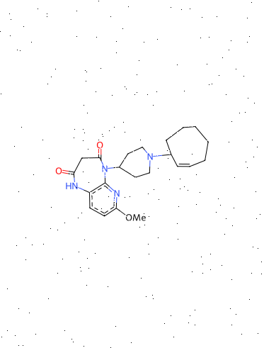 COc1ccc2c(n1)N(C1CCN(C3C=CCCCCC3)CC1)C(=O)CC(=O)N2